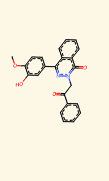 COc1ccc(-c2nn(CC(=O)c3ccccc3)c(=O)c3ccccc23)cc1O